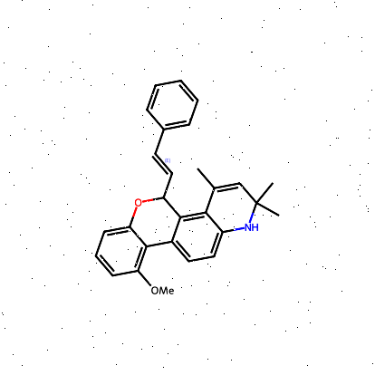 COc1cccc2c1-c1ccc3c(c1C(/C=C/c1ccccc1)O2)C(C)=CC(C)(C)N3